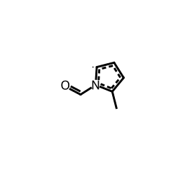 Cc1cc[c]n1C=O